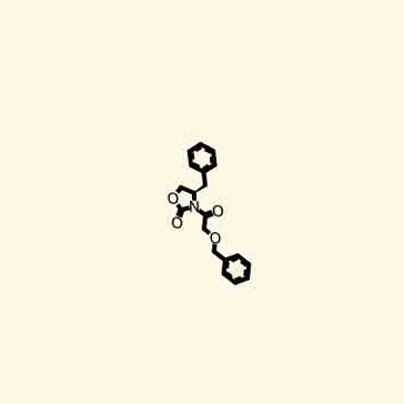 O=C(COCc1ccccc1)N1C(=O)OC[C@H]1Cc1ccccc1